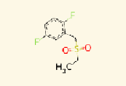 CCS(=O)(=O)Cc1cc(F)ccc1F